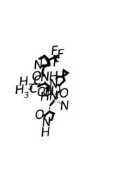 CC(C)(C)[C@H](NC(=O)c1cc(C(F)(F)F)ccn1)C(=O)N1CC2(CC2)C[C@H]1C(=O)N[C@H](C#N)C[C@@H]1CCNC1=O